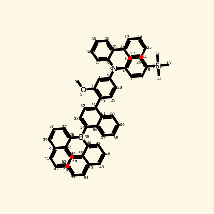 COc1cc(N(c2ccc([Si](C)(C)C)cc2)c2ccccc2-c2ccccc2)ccc1-c1ccc(B(c2cccc3ccccc23)c2cccc3ccccc23)c2ccccc12